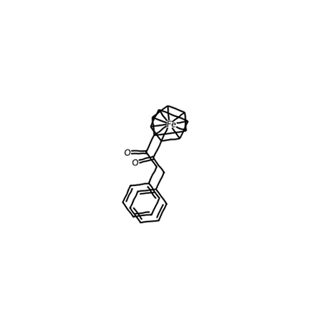 O=C(Cc1ccccc1)[C]12[CH]3[CH]4[CH]5[CH]1[Fe]45321678[CH]2[CH]1[CH]6[C]7(C(=O)Cc1ccccc1)[CH]28